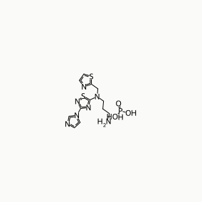 NCCCN(Cc1nccs1)c1nc(-n2ccnc2)ns1.O=[PH](O)O